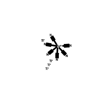 N#[C][Fe-4]([C]#N)([C]#N)([C]#N)([C]#N)[C]#N.[Tl+].[Tl+].[Tl+].[Tl+]